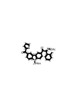 CCCCCCn1c2ccc(C(=O)/C(=N/OC(C)=O)c3ccccc3C)cc2c2cc(C(=O)c3cccs3)ccc21